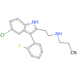 N#CCCNCCc1[nH]c2ccc(Cl)cc2c1-c1ccccc1F